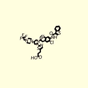 O=C(O)CCc1cnc([C@@H]2C[C@H](N3CCN(CC(F)(F)F)CC3)CN2C(=O)Cc2cc(Cl)c(NC(=O)c3csc4ccccc34)cc2Cl)s1